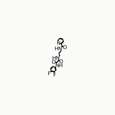 O=C(NCCCNC(=O)c1ccccn1)C(=O)Nc1ccc(F)c(F)c1